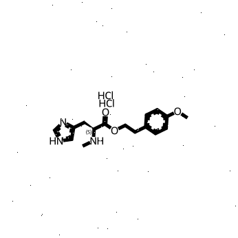 CN[C@@H](Cc1c[nH]cn1)C(=O)OCCc1ccc(OC)cc1.Cl.Cl